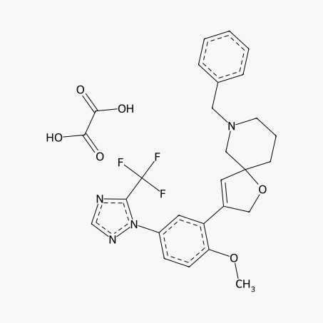 COc1ccc(-n2ncnc2C(F)(F)F)cc1C1=CC2(CCCN(Cc3ccccc3)C2)OC1.O=C(O)C(=O)O